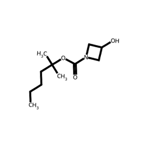 CCCCC(C)(C)OC(=O)N1CC(O)C1